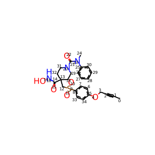 CC#CCOc1ccc(S(=O)(=O)CC2(C(=O)NO)CCN(C(=O)N(C)c3ccccc3)CC2)cc1